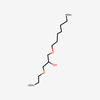 CCCCCCCCCCCCCCCCOCC(O)CSCCCCCCCCCCCC